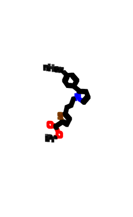 CCCCCCc1ccc(-c2cccn2CCCc2ccc(C(=O)OC(C)C)s2)cc1